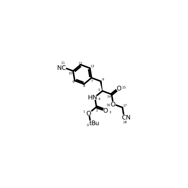 CC(C)(C)OC(=O)N[C@@H](Cc1ccc(C#N)cc1)C(=O)OCC#N